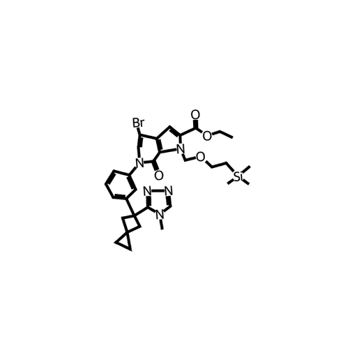 CCOC(=O)c1cc2c(Br)cn(-c3cccc(C4(c5nncn5C)CC5(CC5)C4)c3)c(=O)c2n1COCC[Si](C)(C)C